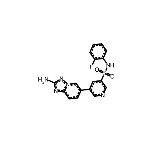 Nc1nc2ccc(-c3cncc(S(=O)(=O)Nc4ccccc4F)c3)cn2n1